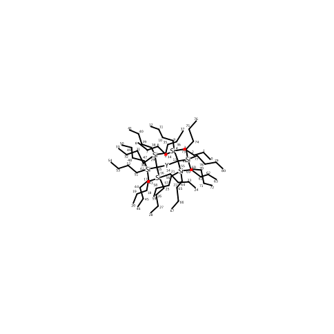 CCCC[Si](CCCC)(CCCC)[C]([Y][C]([Si](CCCC)(CCCC)CCCC)([Si](CCCC)(CCCC)CCCC)[Si](CCCC)(CCCC)CCCC)([Si](CCCC)(CCCC)CCCC)[Si](CCCC)(CCCC)CCCC